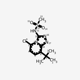 CC(C)(C)c1ccc(Cl)n2c(NS(C)(=O)=O)nnc12